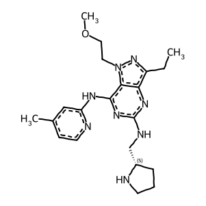 CCc1nn(CCOC)c2c(Nc3cc(C)ccn3)nc(NC[C@@H]3CCCN3)nc12